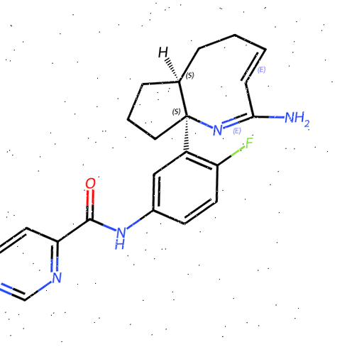 NC1=N/[C@@]2(c3cc(NC(=O)c4ccncn4)ccc3F)CCC[C@H]2CC\C=C\1